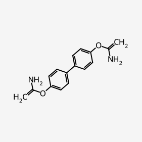 C=C(N)Oc1ccc(-c2ccc(OC(=C)N)cc2)cc1